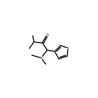 CC(C)C(=O)C(c1ccsc1)N(C)C